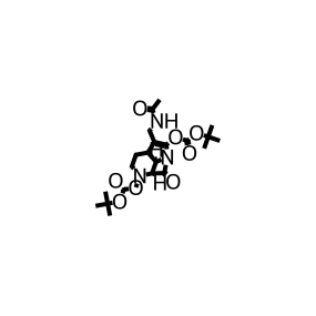 CC(=O)NCC1=C(OC(=O)OC(C)(C)C)N2C(=O)[C@@H]3[C@H]2C1CCN3OC(=O)OC(C)(C)C